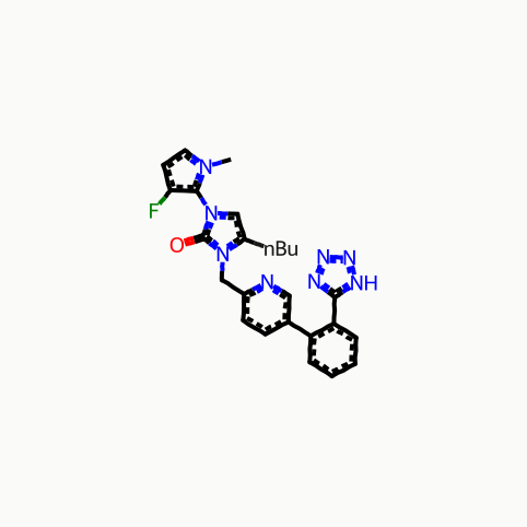 CCCCc1cn(-c2c(F)ccn2C)c(=O)n1Cc1ccc(-c2ccccc2-c2nnn[nH]2)cn1